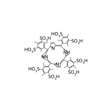 Cc1c(-c2c3nc(c(-c4c(C)c(S(=O)(=O)O)c(C)c(S(=O)(=O)O)c4C)c4ccc([nH]4)c(-c4c(C)c(S(=O)(=O)O)c(C)c(S(=O)(=O)O)c4C)c4nc(c(-c5c(C)c(S(=O)(=O)O)c(C)c(S(=O)(=O)O)c5C)c5ccc2[nH]5)C=C4)C=C3)c(C)c(S(=O)(=O)O)c(C)c1S(=O)(=O)O